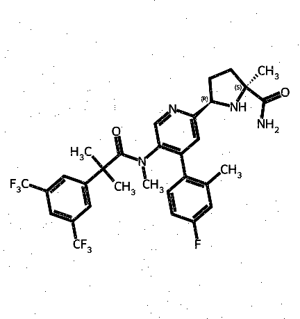 Cc1cc(F)ccc1-c1cc([C@H]2CC[C@@](C)(C(N)=O)N2)ncc1N(C)C(=O)C(C)(C)c1cc(C(F)(F)F)cc(C(F)(F)F)c1